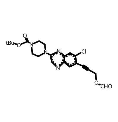 CC(C)(C)OC(=O)N1CCN(c2cnc3cc(C#CCOC=O)c(Cl)cc3n2)CC1